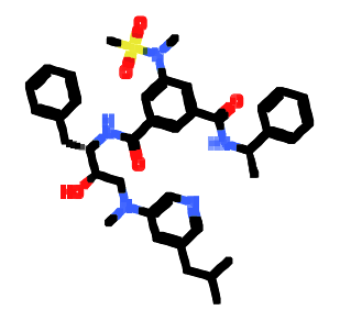 CC(C)Cc1cncc(N(C)C[C@@H](O)[C@H](Cc2ccccc2)NC(=O)c2cc(C(=O)N[C@H](C)c3ccccc3)cc(N(C)S(C)(=O)=O)c2)c1